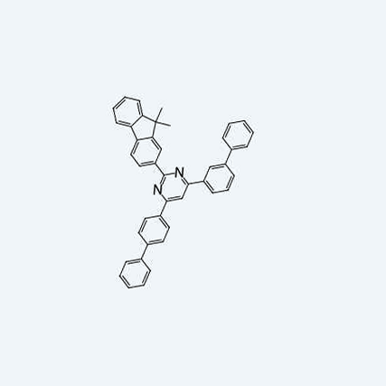 CC1(C)c2ccccc2-c2ccc(-c3nc(-c4ccc(-c5ccccc5)cc4)cc(-c4cccc(-c5ccccc5)c4)n3)cc21